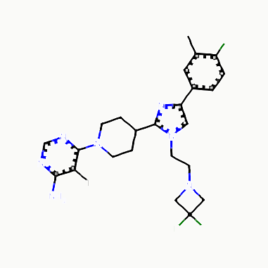 CCc1c(N)ncnc1N1CCC(c2nc(-c3ccc(F)c(C)c3)cn2CCN2CC(F)(F)C2)CC1